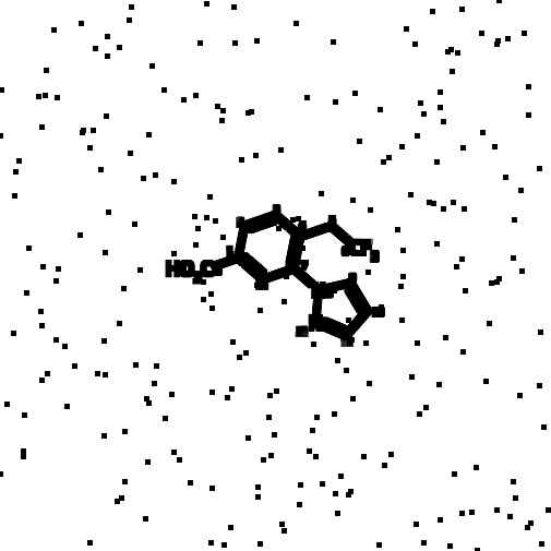 O=C(O)c1ccc(CC(F)(F)F)c(-n2cccn2)c1